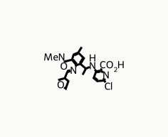 CNC(=O)c1cc(C)cc(C(C)Nc2ccc(Cl)nc2C(=O)O)c1/N=C/C1CCOC1